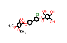 COc1cc(CO)c(C(=O)Oc2ccc(-c3ccc(OC(=O)c4cc(CO)c(CO)cc4CO)c(Cl)c3)cc2)cc1OC